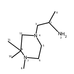 CC(N)CN1CCN(C)C(C)(C)C1